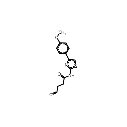 COc1ccc(-c2csc(NC(=O)CCC=O)n2)cc1